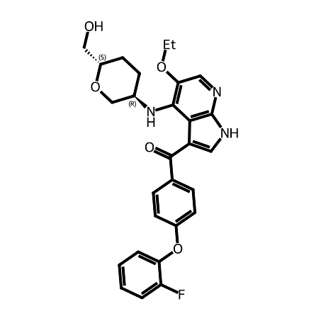 CCOc1cnc2[nH]cc(C(=O)c3ccc(Oc4ccccc4F)cc3)c2c1N[C@@H]1CC[C@@H](CO)OC1